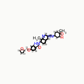 Cc1c(NC(=O)c2ccc(OC[C@@H]3CCCO3)cc2)ccc2cc(CNC3CCC(C)(O)CC3)cnc12